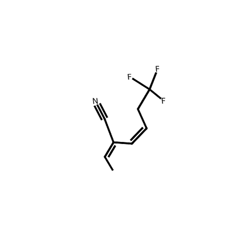 C/C=C(C#N)\C=C/CC(F)(F)F